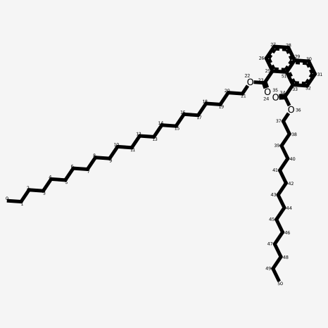 CCCCCCCCCCCCCCCCCCCCCCOC(=O)c1cccc2cccc(C(=O)OCCCCCCCCCCCCCC)c12